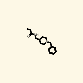 CCC(=O)NCC1CCN(Cc2ccccc2)CC1